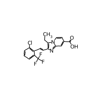 CCc1c(C=Cc2c(Cl)cccc2C(F)(F)F)nc2cc(C(=O)O)ccn12